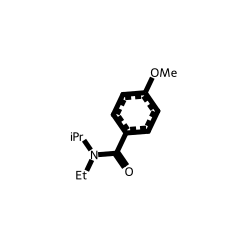 [CH2]CN(C(=O)c1ccc(OC)cc1)C(C)C